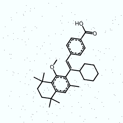 COc1c(C(=Cc2ccc(C(=O)O)cc2)C2CCCCC2)c(C)cc2c1C(C)(C)CCC2(C)C